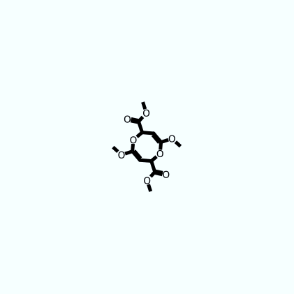 COC(=O)C1/C=C(/OC)OC(C(=O)OC)/C=C(/OC)O1